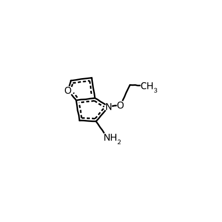 CCOn1c(N)cc2occc21